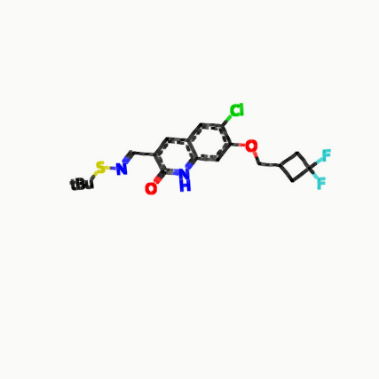 CC(C)(C)S/N=C/c1cc2cc(Cl)c(OCC3CC(F)(F)C3)cc2[nH]c1=O